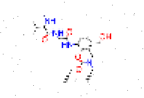 C#CCOC(=O)N(CC#C)Cc1cc(NC(=O)CNC(=O)C(NC)C(C)C)ccc1CO